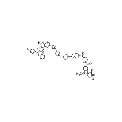 COc1ccc(C(=O)N2CCC(C(=O)N3CCC4(CC3)CC(N3CCC(CN5CCC(n6cc(-c7cnc(N)c(C(=O)O[C@@H](C(=O)Nc8ccc(F)cc8)c8ccccc8)n7)cn6)CC5)CC3)C4)CC2)cc1N1CCC(=O)NC1=O